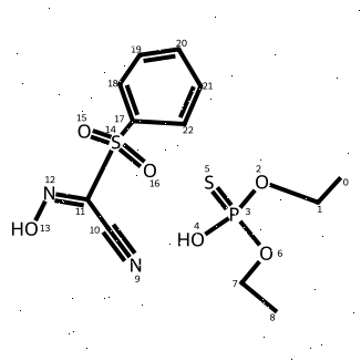 CCOP(O)(=S)OCC.N#CC(=NO)S(=O)(=O)c1ccccc1